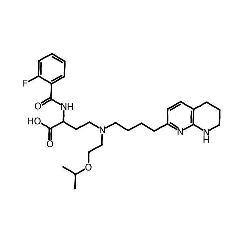 CC(C)OCCN(CCCCc1ccc2c(n1)NCCC2)CCC(NC(=O)c1ccccc1F)C(=O)O